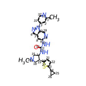 Cc1cc(-n2ncc3cc(NC(=O)N[C@H]4CN(C)C[C@@H]4c4ccc(C5CC5)s4)ncc32)ccn1